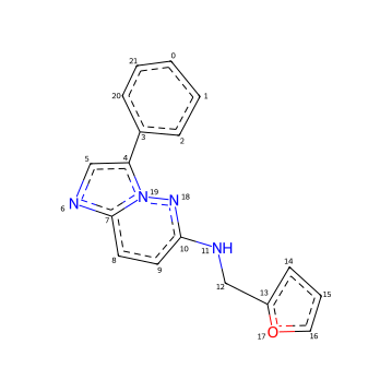 c1ccc(-c2cnc3ccc(NCc4ccco4)nn23)cc1